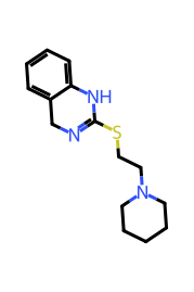 c1ccc2c(c1)CN=C(SCCN1CCCCC1)N2